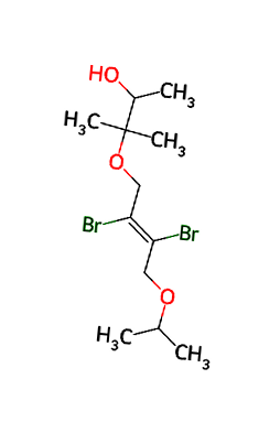 CC(C)OC/C(Br)=C(\Br)COC(C)(C)C(C)O